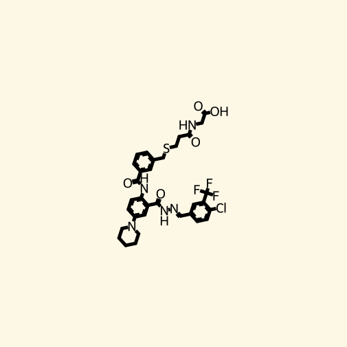 O=C(O)CNC(=O)CCSCc1cccc(C(=O)Nc2ccc(N3CCCCC3)cc2C(=O)N/N=C/c2ccc(Cl)c(C(F)(F)F)c2)c1